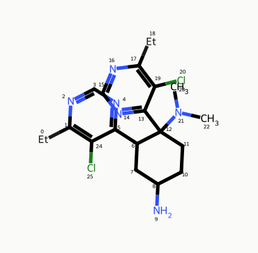 CCc1ncnc(C2CC(N)CCC2(c2ncnc(CC)c2Cl)N(C)C)c1Cl